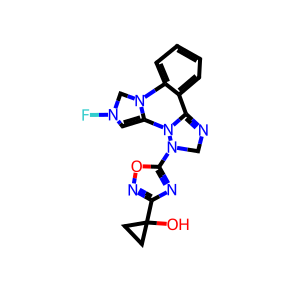 OC1(c2noc(N3CN=C4c5ccccc5N5CN(F)C=C5N43)n2)CC1